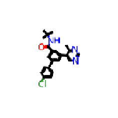 Cc1ncncc1-c1cc(C(=O)NC(C)(C)C)cc(-c2ccc(Cl)cc2)c1